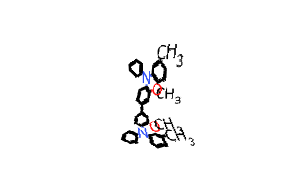 COc1cc(-c2ccc(N(c3ccccc3)c3cccc(C)c3)c(OC)c2)ccc1N(c1ccccc1)c1cccc(C)c1